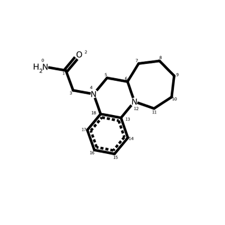 NC(=O)CN1CC2CCCCCN2c2ccccc21